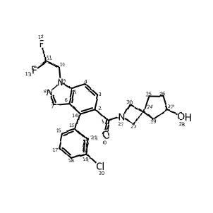 O=C(c1ccc2c(cnn2CC(F)F)c1-c1cccc(Cl)c1)N1CC2(CCC(O)C2)C1